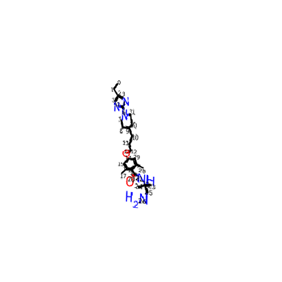 CCc1cnc(N2CCC(CCCOc3cc(C)c(C(=O)NC(C)(C)CN)c(C)c3)CC2)nc1